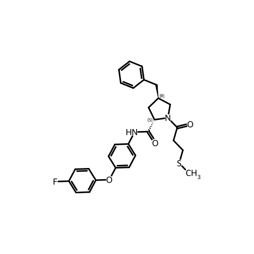 CSCCC(=O)N1C[C@H](Cc2ccccc2)C[C@H]1C(=O)Nc1ccc(Oc2ccc(F)cc2)cc1